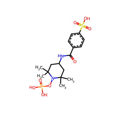 CC1(C)CC(NC(=O)c2ccc(S(=O)(=O)O)cc2)CC(C)(C)N1OP(=O)(O)O